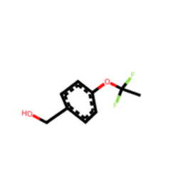 CC(F)(F)Oc1ccc(CO)cc1